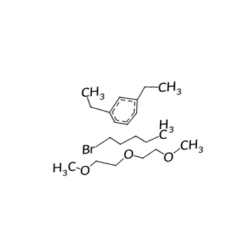 CCCCCBr.CCc1cccc(CC)c1.COCCOCCOC